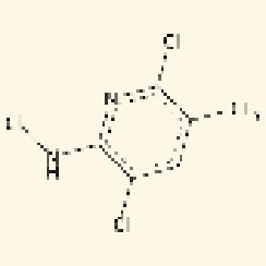 FC(F)(F)c1cc(Cl)c(NCl)nc1Cl